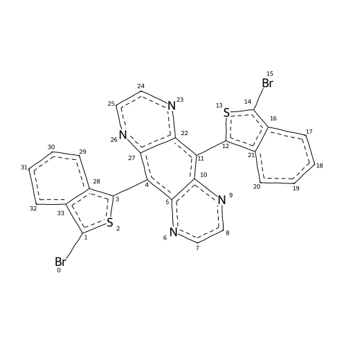 Brc1sc(-c2c3nccnc3c(-c3sc(Br)c4ccccc34)c3nccnc23)c2ccccc12